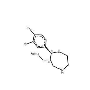 CC(=O)NC[C@H]1CNCCO[C@@H]1c1ccc(Cl)c(Cl)c1